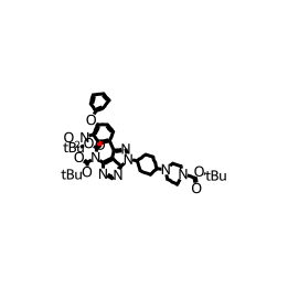 CC(C)(C)OC(=O)N1CCN(C2CCC(n3nc(-c4ccc(Oc5ccccc5)c([N+](=O)[O-])c4)c4c(N(C(=O)OC(C)(C)C)C(=O)OC(C)(C)C)ncnc43)CC2)CC1